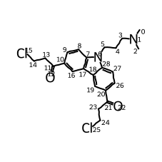 CN(C)CCCn1c2ccc(C(=O)CCCl)cc2c2cc(C(=O)CCCl)ccc21